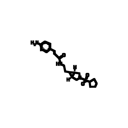 Nc1ccc(/C=C/C(=O)NCCC2[C@H]3CN(S(=O)(=O)C4CCCC4)C[C@@H]23)cn1